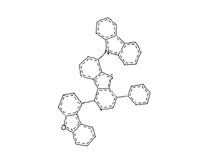 c1ccc(-c2ccc(-c3cccc4oc5ccccc5c34)c3c2sc2c(-n4c5ccccc5c5ccccc54)cccc23)cc1